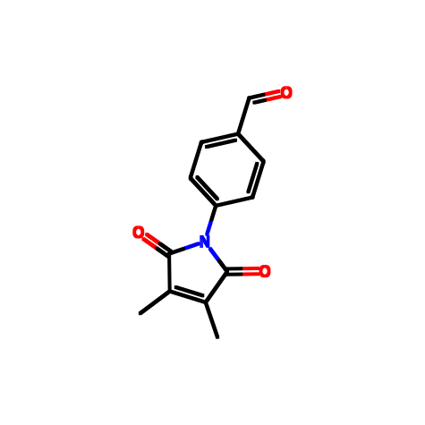 CC1=C(C)C(=O)N(c2ccc(C=O)cc2)C1=O